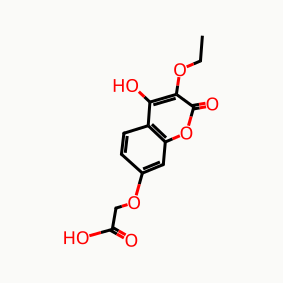 CCOc1c(O)c2ccc(OCC(=O)O)cc2oc1=O